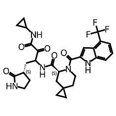 O=C(NC1CC1)C(=O)C(C[C@@H]1CCNC1=O)NC(=O)[C@@H]1CC2(CCN1C(=O)c1cc3c(C(F)(F)F)cccc3[nH]1)CC2